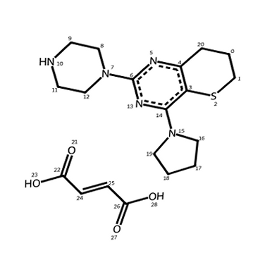 C1CSc2c(nc(N3CCNCC3)nc2N2CCCC2)C1.O=C(O)C=CC(=O)O